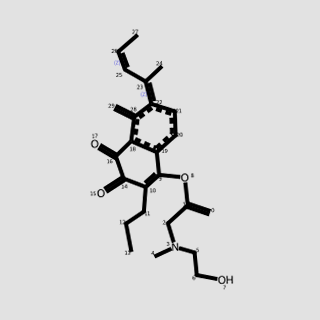 C=C(CN(C)CCO)OC1=C(CCC)C(=O)C(=O)c2c1cc/c(=C(C)/C=C\C)c2=C